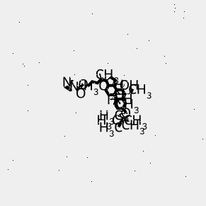 CC[C@H]1[C@@H](O)[C@@H]2[C@H](CC[C@]3(C)[C@@H]([C@H](C)CCCOC(=O)n4ccnc4)CC[C@@H]23)[C@@]2(C)CCC(O[Si](C)(C)C(C)(C)C)C[C@@H]12